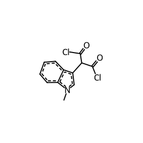 Cn1cc(C(C(=O)Cl)C(=O)Cl)c2ccccc21